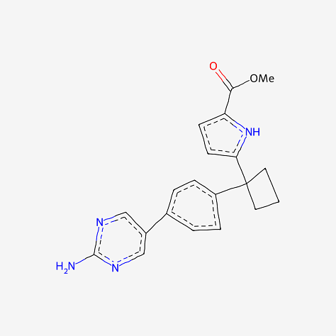 COC(=O)c1ccc(C2(c3ccc(-c4cnc(N)nc4)cc3)CCC2)[nH]1